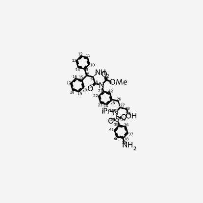 COC(=O)N(C(=O)[C@@H](N)C(c1ccccc1)c1ccccc1)c1cccc(C[C@@H](CO)N(C(C)C)S(=O)(=O)c2ccc(N)cc2)c1